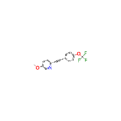 COc1ccc(C#Cc2ccc(OC(F)(F)F)cc2)nc1